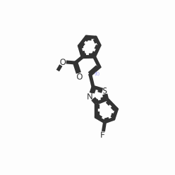 COC(=O)c1ccccc1/C=C/c1nc2cc(F)ccc2s1